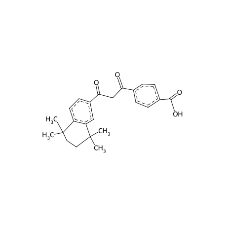 CC1(C)CCC(C)(C)c2cc(C(=O)CC(=O)c3ccc(C(=O)O)cc3)ccc21